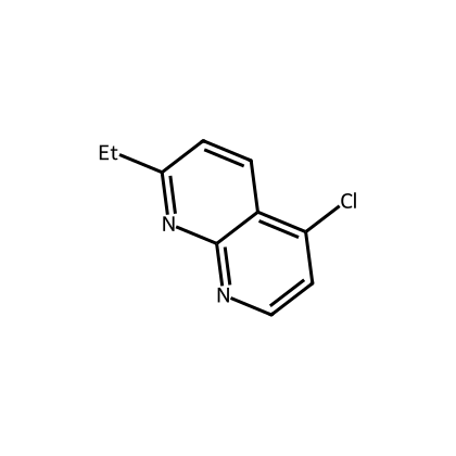 CCc1ccc2c(Cl)ccnc2n1